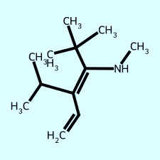 C=C/C(=C(\NC)C(C)(C)C)C(C)C